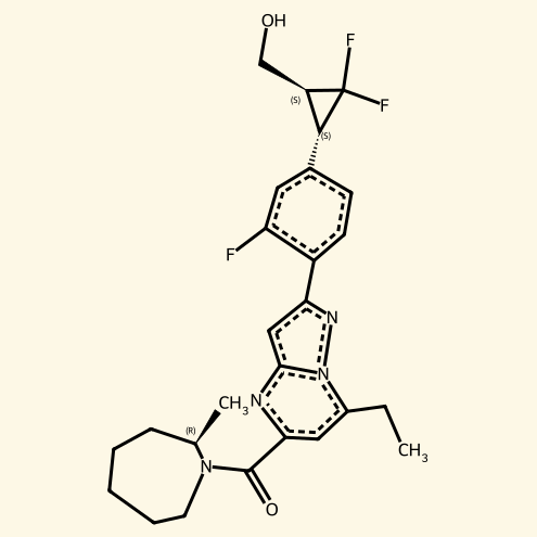 CCc1cc(C(=O)N2CCCCC[C@H]2C)nc2cc(-c3ccc([C@@H]4[C@@H](CO)C4(F)F)cc3F)nn12